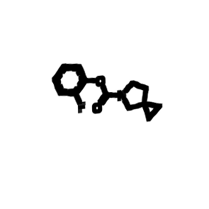 O=C(Oc1ccccc1F)N1CCC2(CC2)C1